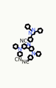 N#Cc1ccc(N(c2ccccc2)c2ccc3c(c2)c2cc(N(c4ccccc4)c4ccc(C#N)cc4)ccc2n3-c2ccc(-c3cc(-c4ccccc4)nc(-c4ccccc4)n3)cc2C#N)cc1